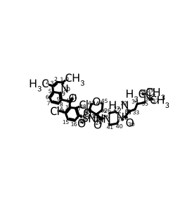 Cc1cc(C)c2cccc(C(=O)c3c(Cl)ccc(S(=O)(=O)NC4(C(=O)N5CCN(C(=O)[C@@H](N)CCC[N+](C)(C)C)CC5)CCOCC4)c3Cl)c2n1